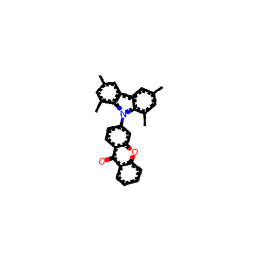 Cc1cc(C)c2c(c1)c1cc(C)cc(C)c1n2-c1ccc2c(=O)c3ccccc3oc2c1